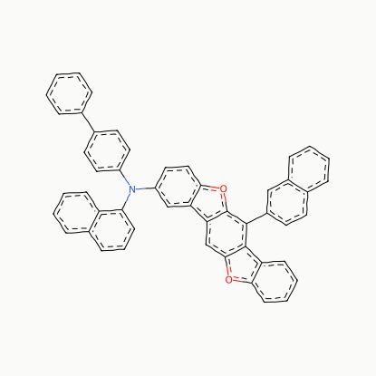 c1ccc(-c2ccc(N(c3ccc4oc5c(-c6ccc7ccccc7c6)c6c(cc5c4c3)oc3ccccc36)c3cccc4ccccc34)cc2)cc1